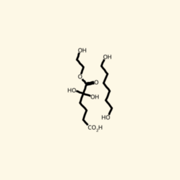 O=C(O)CCCC(O)(O)C(=O)OCCO.OCCCCCCO